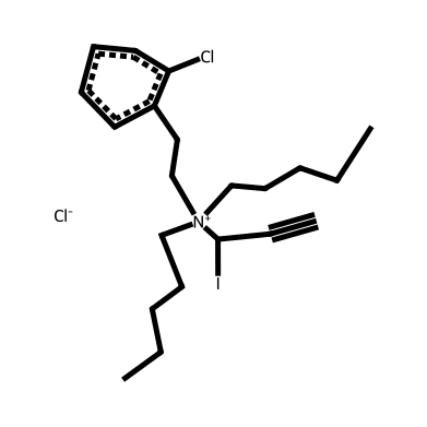 C#CC(I)[N+](CCCCC)(CCCCC)CCc1ccccc1Cl.[Cl-]